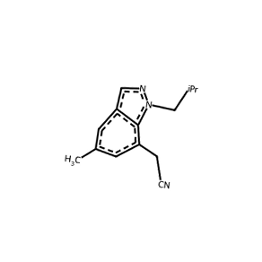 Cc1cc(CC#N)c2c(cnn2CC(C)C)c1